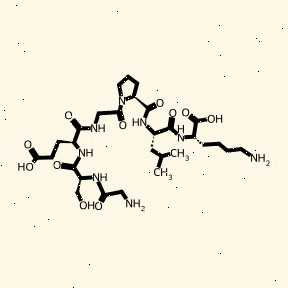 CC(C)C[C@H](NC(=O)[C@@H]1CCCN1C(=O)CNC(=O)[C@H](CCC(=O)O)NC(=O)[C@H](CO)NC(=O)CN)C(=O)N[C@@H](CCCCN)C(=O)O